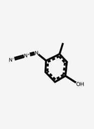 Cc1cc(O)ccc1N=[N+]=[N-]